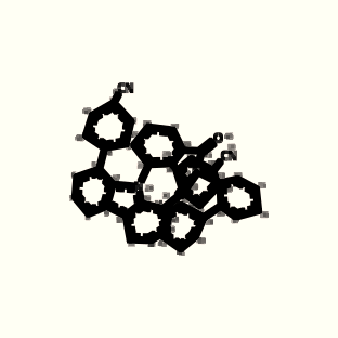 N#Cc1ccc(-c2cccc3c4cccc(-c5ccc(C#N)cc5)c4n(-c4cccc5c4C(=O)N(c4ccccc4-c4ccccc4)C5=O)c23)cc1